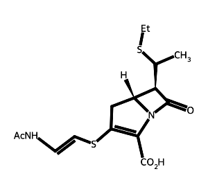 CCSC(C)[C@H]1C(=O)N2C(C(=O)O)=C(S/C=C/NC(C)=O)C[C@H]12